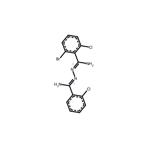 N/C(=N\N=C(/N)c1c(Cl)cccc1Br)c1ccccc1Cl